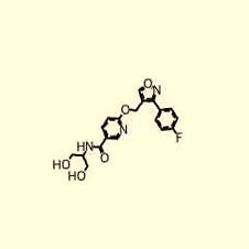 O=C(NC(CO)CO)c1ccc(OCc2conc2-c2ccc(F)cc2)nc1